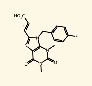 Cn1c(=O)c2nc(/C=C/C(=O)O)n(Cc3ccc(F)cc3)c2n(C)c1=O